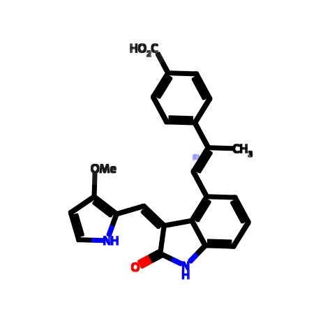 COc1cc[nH]c1C=C1C(=O)Nc2cccc(/C=C(\C)c3ccc(C(=O)O)cc3)c21